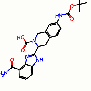 CC(C)(C)OC(=O)Nc1ccc2c(c1)CN(C(=O)O)C(c1nc3c(C(N)=O)cccc3[nH]1)C2